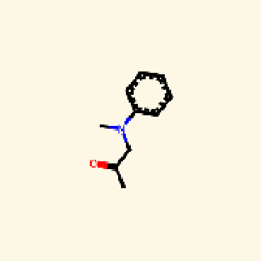 CC(=O)CN(C)c1ccccc1